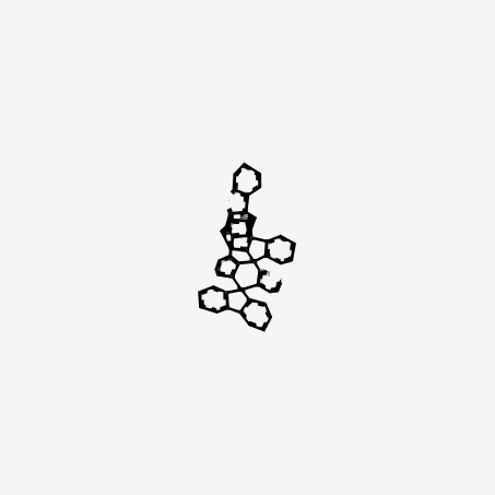 c1ccc2c(c1)-c1ccccc1C21c2ccccc2C2(c3ccccc3-c3ccccc32)c2c(-c3ccc4c(c3)oc3ccccc34)cccc21